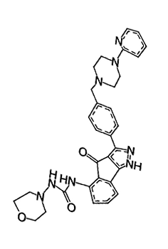 O=C(Nc1cccc2c1C(=O)c1c(-c3ccc(CN4CCN(c5ccccn5)CC4)cc3)n[nH]c1-2)NN1CCOCC1